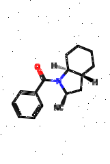 N#C[C@@H]1C[C@H]2CCCC[C@@H]2N1C(=O)c1ccccc1